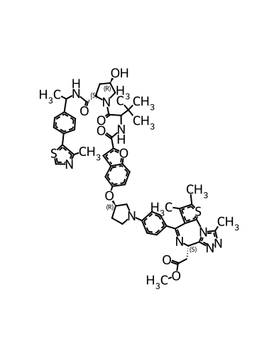 COC(=O)C[C@@H]1N=C(c2ccc(N3CC[C@@H](Oc4ccc5oc(C(=O)NC(C(=O)N6C[C@H](O)C[C@H]6C(=O)NC(C)c6ccc(-c7scnc7C)cc6)C(C)(C)C)cc5c4)C3)cc2)c2c(sc(C)c2C)-n2c(C)nnc21